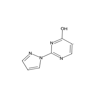 Oc1[c]cnc(-n2cccn2)n1